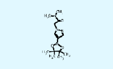 CN(C)C(=O)Cn1cc(B2OC(C)(C)C(C)(C)O2)cn1